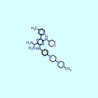 Cc1ccnc(-c2nc(C(N)N)c(Nc3ccc(N4CCC(N5CCN(C)CC5)CC4)cc3)nc2NC2CCOCC2)c1